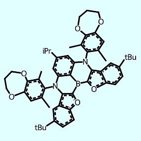 Cc1cc2c(c(C)c1N1c3cc(C(C)C)cc4c3B(c3oc5ccc(C(C)(C)C)cc5c31)c1oc3ccc(C(C)(C)C)cc3c1N4c1c(C)cc3c(c1C)OCCCO3)OCCCO2